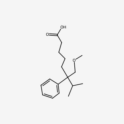 COCC(CCCCC(=O)O)(c1ccccc1)C(C)C